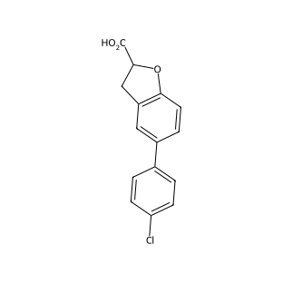 O=C(O)C1Cc2cc(-c3ccc(Cl)cc3)ccc2O1